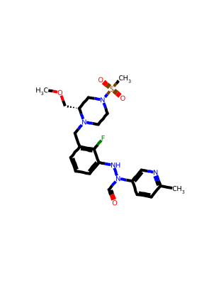 COC[C@@H]1CN(S(C)(=O)=O)CCN1Cc1cccc(NN(C=O)c2ccc(C)nc2)c1F